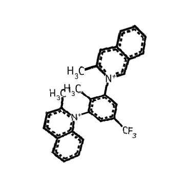 Cc1c(-[n+]2cc3ccccc3cc2C)cc(C(F)(F)F)cc1-[n+]1c(C)ccc2ccccc21